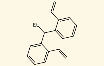 C=Cc1ccccc1C(CC)c1ccccc1C=C